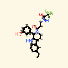 CCc1ccc2[nH]c3c(c2c1)CCN(C(=O)CCNC(=O)C(F)(F)F)C3c1cccc(O)c1